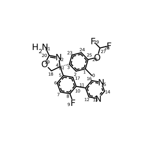 Cc1cc([C@]2(c3ccc(F)c(-c4cncnc4)c3)COC(N)=N2)ccc1OC(F)F